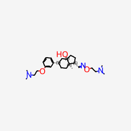 CN(C)CCON=C[C@H]1CC[C@]2(O)C[C@@H](c3cccc(OCCN(C)C)c3)CC[C@]12C